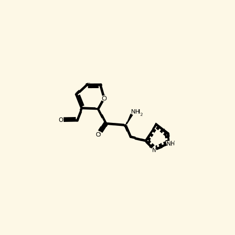 N[C@@H](Cc1cc[nH]n1)C(=O)C1OC=CC=C1C=O